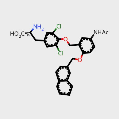 CC(=O)Nc1ccc(OCc2ccc3ccccc3c2)c(COc2c(Cl)cc(C[C@H](N)C(=O)O)cc2Cl)c1